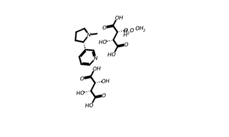 CN1CCC[C@H]1c1cccnc1.O.O.O=C(O)[C@H](O)[C@@H](O)C(=O)O.O=C(O)[C@H](O)[C@@H](O)C(=O)O